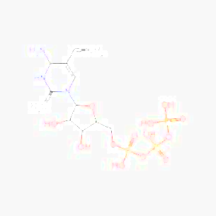 C=CC1=CN(C2OC(COP(=O)(O)OP(=O)(O)OP(=O)(O)O)C(O)C2O)C(=C)NC1N